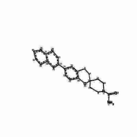 NC(=O)N1CCC2(CCc3cc(-c4cnc5ncccc5c4)ccc3O2)CC1